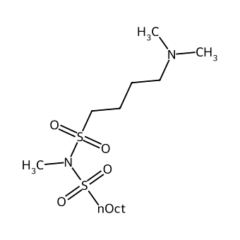 CCCCCCCCS(=O)(=O)N(C)S(=O)(=O)CCCCN(C)C